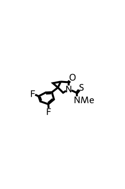 CNC(=S)N1CC2(c3cc(F)cc(F)c3)CC2C1=O